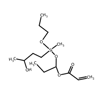 C=CC(=O)OC(CC)O[Si](C)(CCC(C)O)OCCC